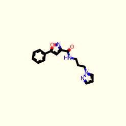 O=C(NCCCn1cccn1)c1cc(-c2ccccc2)on1